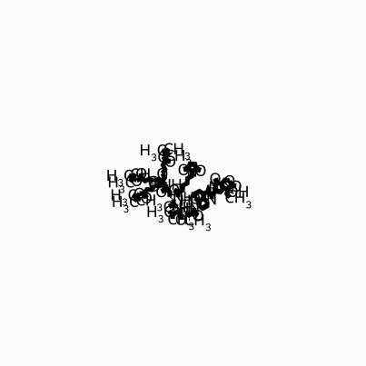 CC[C@@]1(O)C(=O)OCc2c1cc1n(c2=O)Cc2c-1nc1ccc(NC(=O)[C@H](C)NC(=O)[C@@H](NC(=O)[C@H](CCC(=O)NC(COCCC(=O)OC(C)(C)C)(COCCC(=O)OC(C)(C)C)COCCC(=O)OC(C)(C)C)NC(=O)CCCCCN3C(=O)C=CC3=O)C(C)C)c3c1c2CCO3